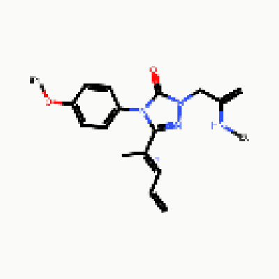 C=C/C=C(\C)c1nn(CC(=C)NCC)c(=O)n1-c1ccc(OC(C)C)cc1